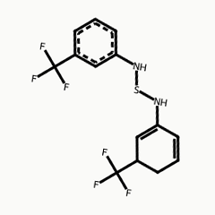 FC(F)(F)c1cccc(NSNC2=CC(C(F)(F)F)CC=C2)c1